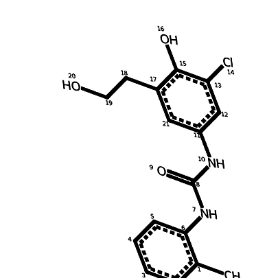 Cc1ccccc1NC(=O)Nc1cc(Cl)c(O)c(CCO)c1